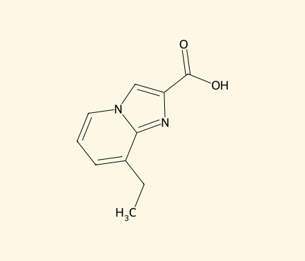 CCc1cccn2cc(C(=O)O)nc12